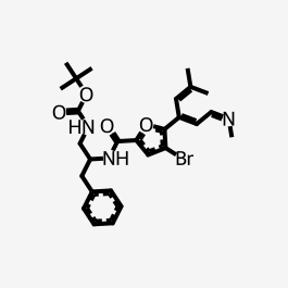 C/N=C\C=C(/C=C(C)C)c1oc(C(=O)NC(CNC(=O)OC(C)(C)C)Cc2ccccc2)cc1Br